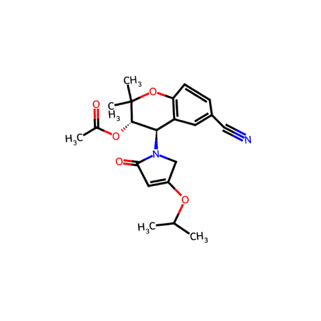 CC(=O)O[C@H]1[C@H](N2CC(OC(C)C)=CC2=O)c2cc(C#N)ccc2OC1(C)C